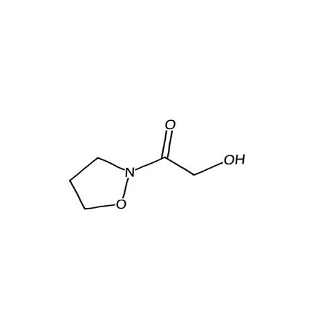 O=C(CO)N1CCCO1